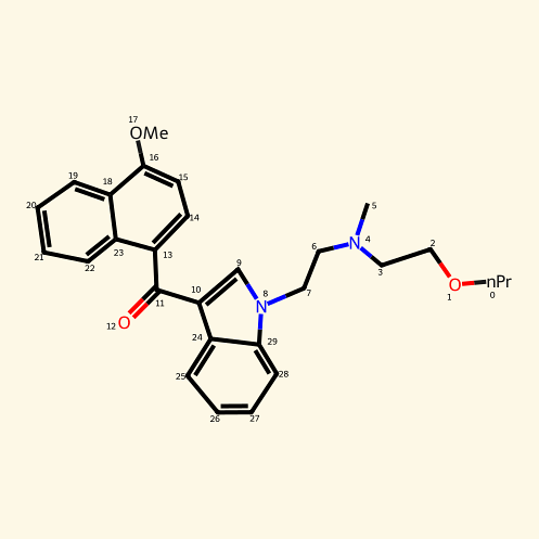 CCCOCCN(C)CCn1cc(C(=O)c2ccc(OC)c3ccccc23)c2ccccc21